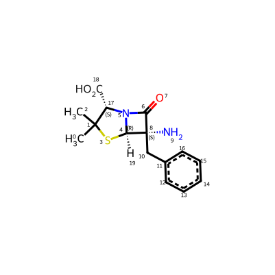 CC1(C)S[C@H]2N(C(=O)[C@@]2(N)Cc2ccccc2)[C@H]1C(=O)O